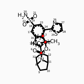 CC(C)(C)OC(=O)N1C2CCC1CN(c1nc3cc(S(N)(=O)=O)cc(-c4nccs4)c3o1)C2